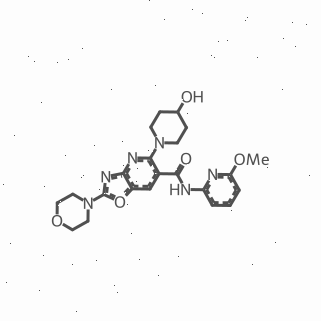 COc1cccc(NC(=O)c2cc3oc(N4CCOCC4)nc3nc2N2CCC(O)CC2)n1